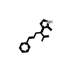 C=C(C)/C(C/C=C/c1ccccc1)=c1/cc[nH]c1=C